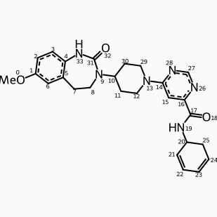 COc1ccc2c(c1)CCN(C1CCN(c3cc(C(=O)NC4C=CC=CC4)ncn3)CC1)C(=O)N2